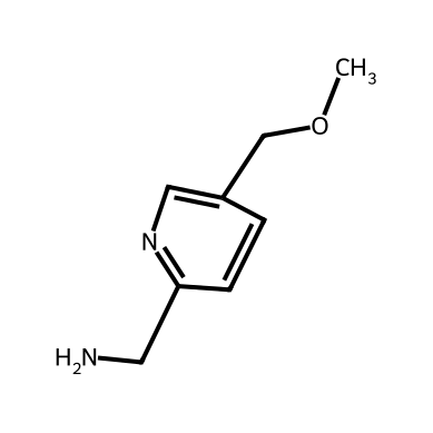 COCc1ccc(CN)nc1